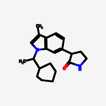 Cc1cn(C(C)C2CCCCC2)c2cc(C3CCNC3=O)ccc12